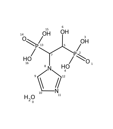 O.O=P(O)(O)C(O)C(n1ccnc1)P(=O)(O)O